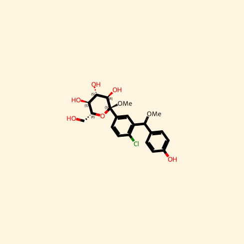 COC(c1ccc(O)cc1)c1cc([C@]2(OC)O[C@H](CO)[C@@H](O)[C@H](O)[C@H]2O)ccc1Cl